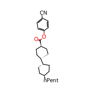 CCCCC[C@H]1CC[C@H]([C@H]2CC[C@H](C(=O)Oc3ccc(C#N)cc3)CC2)CC1